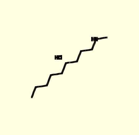 CCCCCCCCCNC.Cl